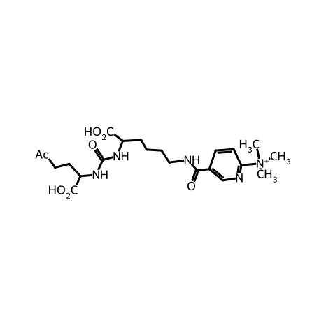 CC(=O)CCC(NC(=O)NC(CCCCNC(=O)c1ccc([N+](C)(C)C)nc1)C(=O)O)C(=O)O